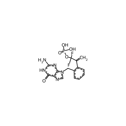 C=C(c1ccccc1Cn1cnc2c(=O)[nH]c(N)nc21)C(F)(F)OP(=O)(O)O